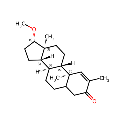 CO[C@H]1CC[C@H]2[C@@H]3CCC4CC(=O)C(C)=C[C@]4(C)[C@H]3CC[C@]12C